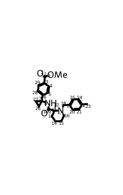 COC(=O)c1ccc(C2(NC(=O)[C@@]3(C)CCCCN3Cc3ccc(C)cc3)CC2)cc1